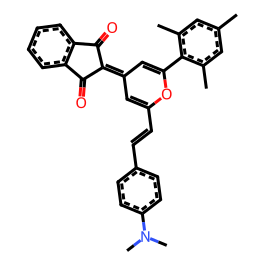 Cc1cc(C)c(C2=CC(=C3C(=O)c4ccccc4C3=O)C=C(C=Cc3ccc(N(C)C)cc3)O2)c(C)c1